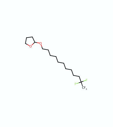 FC(F)(F)C(F)(F)CCCCCCCCCCOC1CCCO1